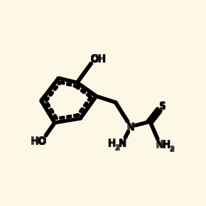 NC(=S)N(N)Cc1cc(O)ccc1O